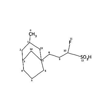 CC1CC2CCCC(CCC(F)S(=O)(=O)O)(C1)C2